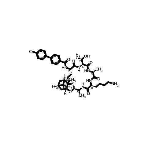 C[C@H](NC(=O)[C@H](CCCCN)NC(=O)[C@H](C)NC(=O)[C@@H](NC(=O)[C@H](CCN)NC(=O)c1ccc(-c2ccc(Cl)cc2)cc1)[C@@H](C)O)B1O[C@@H]2C[C@@H]3C[C@@H](C3(C)C)[C@]2(C)O1